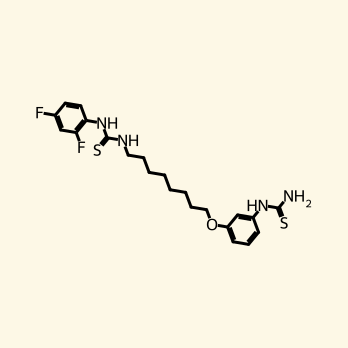 NC(=S)Nc1cccc(OCCCCCCCCNC(=S)Nc2ccc(F)cc2F)c1